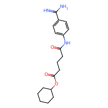 N=C(N)c1ccc(NC(=O)CC[CH]C(=O)OC2CCCCC2)cc1